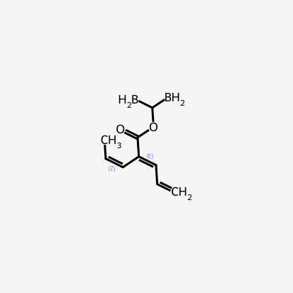 BC(B)OC(=O)C(/C=C\C)=C/C=C